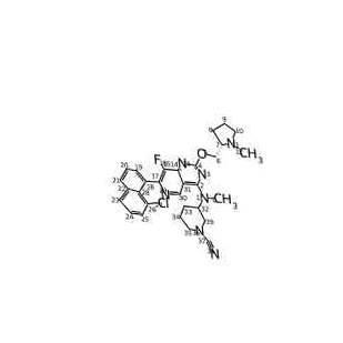 CN(c1nc(OC[C@@H]2CCCN2C)nc2c(F)c(-c3cccc4cccc(Cl)c34)ncc12)C1CCCN(C#N)C1